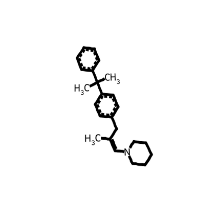 CC(=CN1CCCCC1)Cc1ccc(C(C)(C)c2ccccc2)cc1